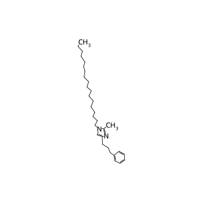 CCCCCCCCCCCCCCCCCCn1cc(CCCc2ccccc2)nc1C